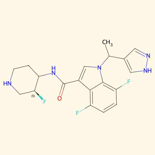 CC(c1cn[nH]c1)n1cc(C(=O)NC2CCNC[C@@H]2F)c2c(F)ccc(F)c21